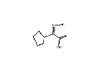 C=C(O)/C(=N\CC)C1CCCC1